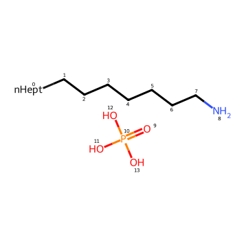 CCCCCCCCCCCCCCN.O=P(O)(O)O